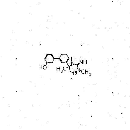 CN1OCC(C)(c2cccc(-c3cccc(O)c3)c2)NC1=N